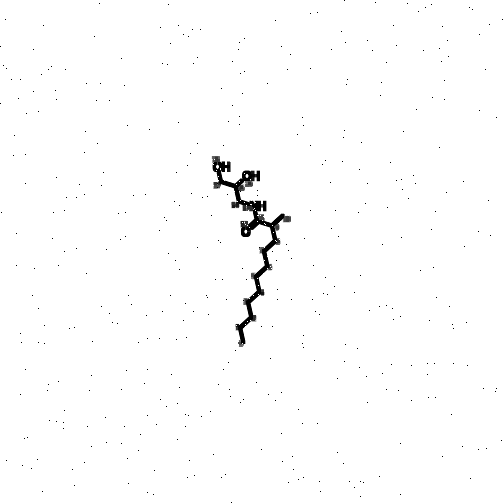 CCCCCCCCCC(C)C(=O)NCC(O)CO